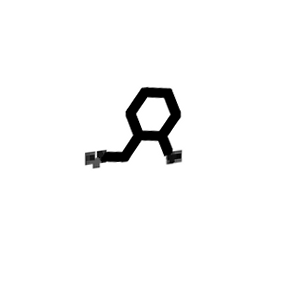 NCC1CCCCC1S